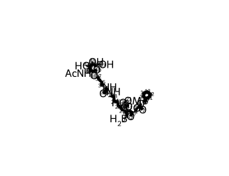 B[C@@H]1O[C@H](COC(=O)OCc2ccccc2)C(OP(=O)(O)OC)[C@@H]1CCCCCCCNC(=O)NCCCCO[C@@H]1O[C@H](CO)[C@H](O)[C@H](O)[C@H]1NC(C)=O